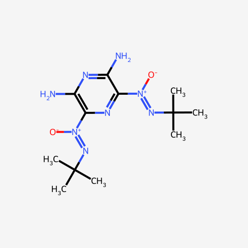 CC(C)(C)/N=[N+](\[O-])c1nc(/[N+]([O-])=N/C(C)(C)C)c(N)nc1N